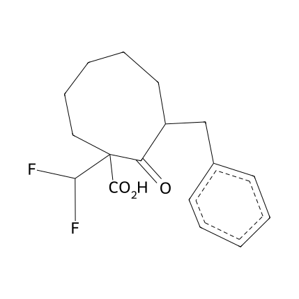 O=C(O)C1(C(F)F)CCCCCC(Cc2ccccc2)C1=O